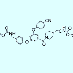 CC(C)(C)OC(=O)NCCC1CCN(C(=O)c2cc(Oc3ccc(C#N)cc3)cc(Oc3ccc(CNC(=O)OC(C)(C)C)cc3)c2)CC1